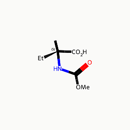 CC[C@](C)(NC(=O)OC)C(=O)O